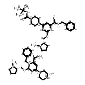 CN1CCC[C@H]1COC1N=C(N2CCNCC2)C=C(C(N)=O)N1Cc1ccccc1.CN1CCC[C@H]1COc1nc(C(=O)NCc2ccccc2)cc(N2CCN(C(=O)OC(C)(C)C)CC2)n1.Cl